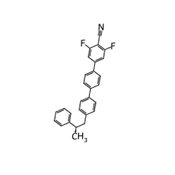 C[C@H](Cc1ccc(-c2ccc(-c3cc(F)c(C#N)c(F)c3)cc2)cc1)c1ccccc1